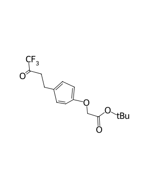 CC(C)(C)OC(=O)COc1ccc(CCC(=O)C(F)(F)F)cc1